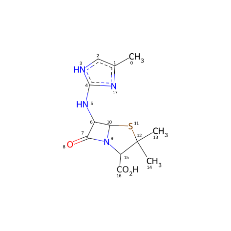 Cc1c[nH]c(NC2C(=O)N3C2SC(C)(C)C3C(=O)O)n1